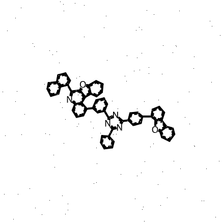 c1ccc(-c2nc(-c3ccc(-c4cccc5c4oc4ccccc45)cc3)nc(-c3cccc(-c4cccc5nc(-c6cccc7ccccc67)c6oc7ccccc7c6c45)c3)n2)cc1